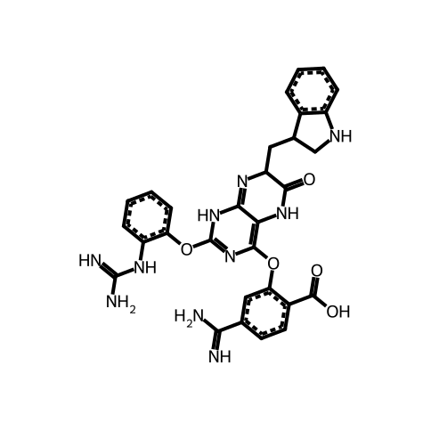 N=C(N)Nc1ccccc1OC1=NC(Oc2cc(C(=N)N)ccc2C(=O)O)=C2NC(=O)C(CC3CNc4ccccc43)N=C2N1